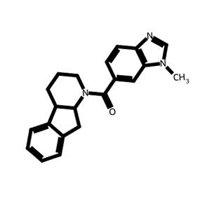 Cn1cnc2ccc(C(=O)N3CCCC4c5ccccc5CC43)cc21